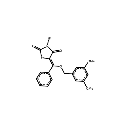 COc1cc(COC(=C2SC(=O)N(C(C)C)C2=O)c2ccccc2)cc(OC)c1